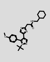 COc1ccc(-c2c(-c3csc(CC(=O)NCC4CCCCC4)n3)cnn2C(C)(C)C)cc1